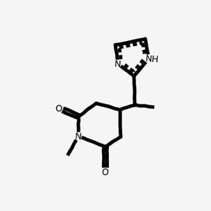 C[C](c1ncc[nH]1)C1CC(=O)N(C)C(=O)C1